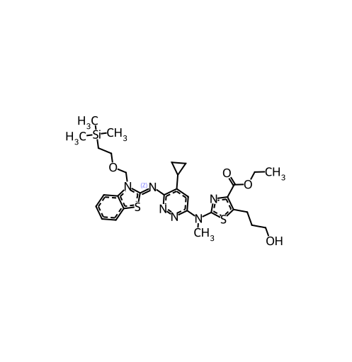 CCOC(=O)c1nc(N(C)c2cc(C3CC3)c(/N=c3\sc4ccccc4n3COCC[Si](C)(C)C)nn2)sc1CCCO